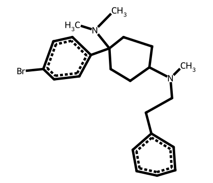 CN(CCc1ccccc1)C1CCC(c2ccc(Br)cc2)(N(C)C)CC1